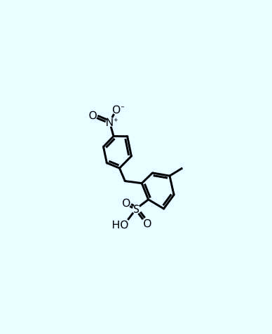 Cc1ccc(S(=O)(=O)O)c(Cc2ccc([N+](=O)[O-])cc2)c1